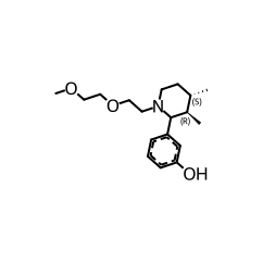 COCCOCCN1CC[C@H](C)[C@@H](C)C1c1cccc(O)c1